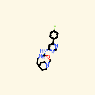 Fc1ccc(-c2cc(N/C3=N/CCC4CCN(CC4)CO3)ncn2)cc1